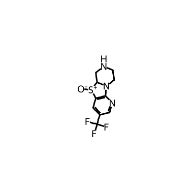 [O-][S+]1c2cc(C(F)(F)F)cnc2N2CCNCC21